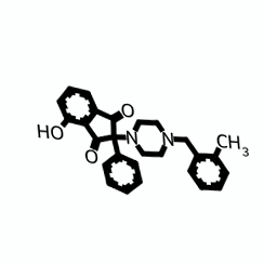 Cc1ccccc1CN1CCN(C2(c3ccccc3)C(=O)c3cccc(O)c3C2=O)CC1